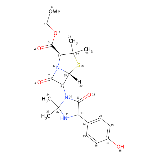 COCOC(=O)[C@@H]1N2C(=O)C(N3C(=O)C(c4ccc(O)cc4)NC3(C)C)[C@H]2SC1(C)C